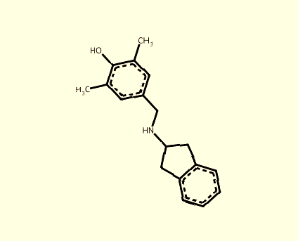 Cc1cc(CNC2Cc3ccccc3C2)cc(C)c1O